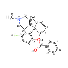 CCC1C=CC=CC1(c1cc(F)ccc1OC(=O)c1ccccc1)C1CCN(C)CC1